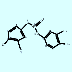 O=[PH](Oc1ccc(Cl)c(Cl)c1)Oc1ccc(Cl)c(Cl)c1